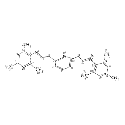 Cc1cc(C)c(N=CCc2cccc(CC=Nc3c(C)cc(C)cc3C)n2)c(C)c1